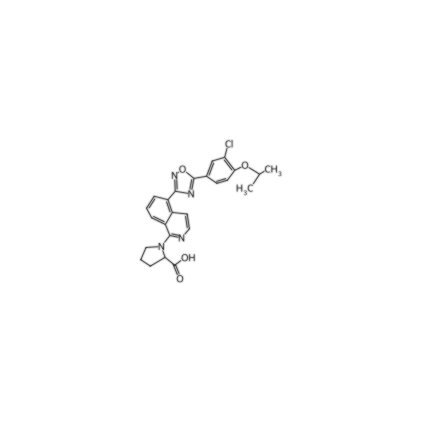 CC(C)Oc1ccc(-c2nc(-c3cccc4c(N5CCCC5C(=O)O)nccc34)no2)cc1Cl